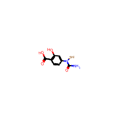 NC(=O)N(S)c1ccc(C(=O)O)c(O)c1